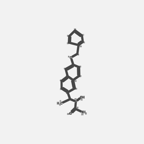 CC(c1ccc2cc(OCc3ccccc3)ccc2c1)N(O)C(N)=O